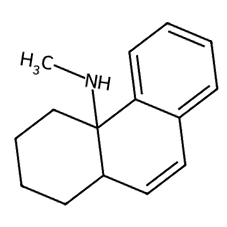 CNC12CCCCC1C=Cc1ccccc12